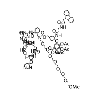 COCCOCCOCCOCCOCCOCCOCCOCCN(Cc1ccccc1C(=O)Nc1nc2c(ncn2[C@@H]2C[C@@H]3CO[PH](=O)O[C@H]4C[C@H](Oc5ccncn5)C[C@@H]4COPO[C@@H]2[C@@H]3O)c(=O)[nH]1)C(=O)OCc1ccc(O[C@@H]2C[C@H](C(=O)OC)[C@@H](OC(C)=O)[C@H](OC(C)=O)[C@H]2OC(C)=O)c(NC(=O)CCNC(=O)OCC2c3ccccc3-c3ccccc32)c1